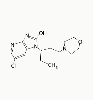 CC[C@H](CCN1CCOCC1)n1c(O)nc2ncc(Cl)cc21